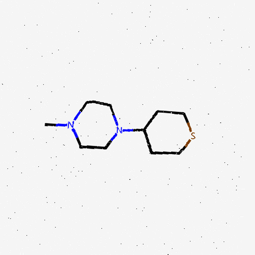 CN1CCN(C2CCSCC2)CC1